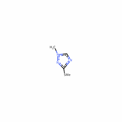 CSc1n[c]n(C)n1